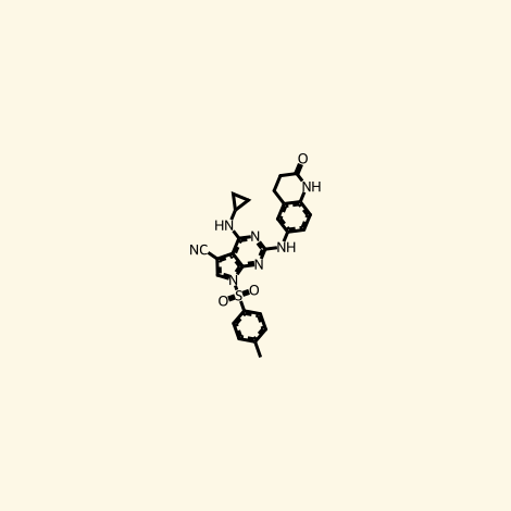 Cc1ccc(S(=O)(=O)n2cc(C#N)c3c(NC4CC4)nc(Nc4ccc5c(c4)CCC(=O)N5)nc32)cc1